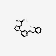 C=C(O)CC1CCCN1c1ccnc(OCc2ccccc2C)c1